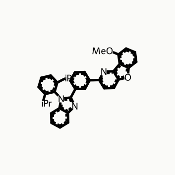 COc1cccc2oc3ccc(-c4cccc(-c5nc6ccccc6n5-c5c(C(C)C)cccc5C(C)C)c4)nc3c12